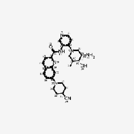 C[C@H]1CN(c2ccncc2NC(=O)c2ccc3ccc(N4CCC(C#N)CC4)cc3n2)C[C@@H](N)[C@@H]1O